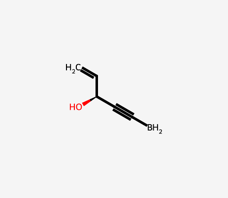 BC#C[C@@H](O)C=C